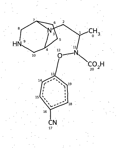 CC(CN1C2CCC1CNC2)N(Oc1ccc(C#N)cc1)C(=O)O